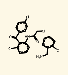 NCc1ccccc1Cl.O=C(CCl)Nc1cccc(Cl)c1C(=O)c1ccc(Cl)cc1